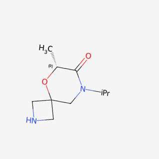 CC(C)N1CC2(CNC2)O[C@H](C)C1=O